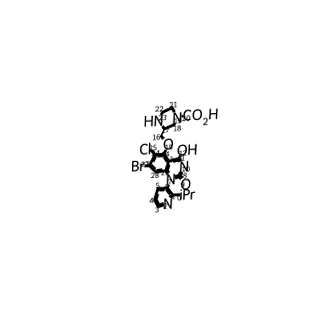 CC(C)c1ncccc1-n1c(=O)nc(O)c2c(OC[C@@H]3CN(C(=O)O)CCN3)c(Cl)c(Br)cc21